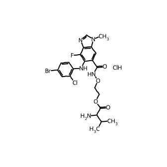 CC(C)C(N)C(=O)OCCONC(=O)c1cc2c(ncn2C)c(F)c1Nc1ccc(Br)cc1Cl.Cl